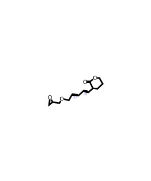 O=C1OCCCC1/C=C/C=C/COCC1CO1